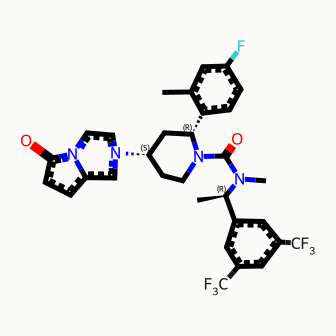 Cc1cc(F)ccc1[C@H]1C[C@@H](n2ccn3c(=O)ccc-3c2)CCN1C(=O)N(C)[C@H](C)c1cc(C(F)(F)F)cc(C(F)(F)F)c1